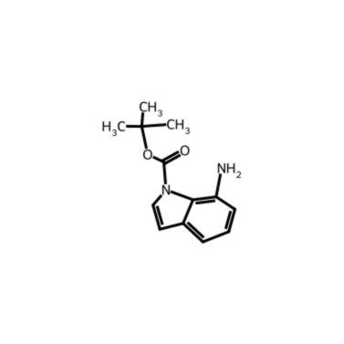 CC(C)(C)OC(=O)n1ccc2cccc(N)c21